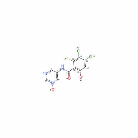 O=C(Nc1cnc[n+]([O-])c1)c1c(Br)cc(Cl)c(Cl)c1F